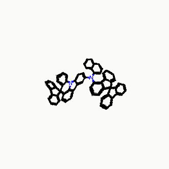 c1ccc2c(c1)-c1ccccc1C21c2ccccc2-c2c(N(c3ccc4c(c3)c3cccc5c3n4-c3ccccc3C53c4ccccc4-c4ccccc43)c3cccc4ccccc34)cccc21